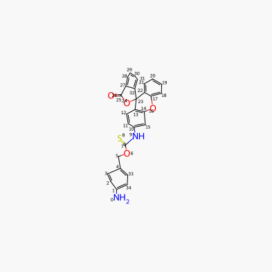 Nc1ccc(COC(=S)Nc2ccc3c(c2)Oc2ccccc2C32OC(=O)c3ccccc32)cc1